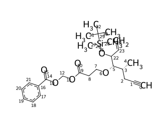 C#CC[C@@H](C)[C@H](OCCC(=O)OCOC(=O)c1ccccc1)C(C=C)O[Si](C)(C)C(C)(C)C